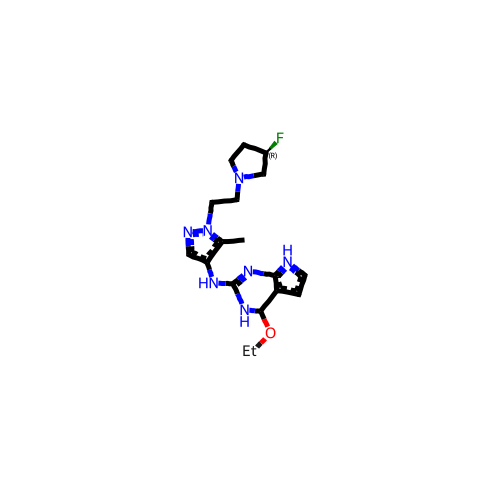 CCOC1NC(Nc2cnn(CCN3CC[C@@H](F)C3)c2C)=Nc2[nH]ccc21